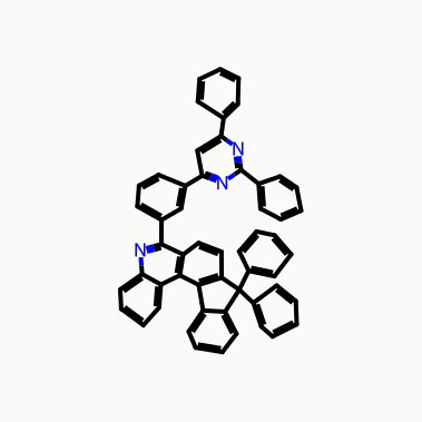 c1ccc(-c2cc(-c3cccc(-c4nc5ccccc5c5c6c(ccc45)C(c4ccccc4)(c4ccccc4)c4ccccc4-6)c3)nc(-c3ccccc3)n2)cc1